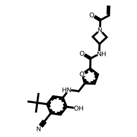 C=CC(=O)N1CC(NC(=O)c2ccc(CNc3cc(C(C)(C)C)c(C#N)cc3O)o2)C1